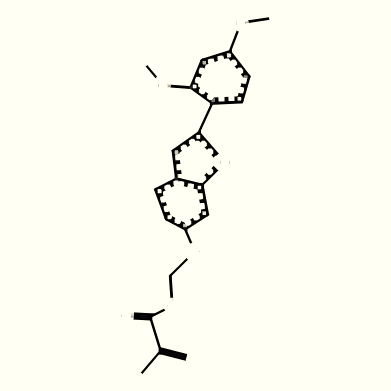 C=C(C)C(=O)OCOc1ccc2cc(-c3ccc(OC)cc3OC)oc2c1